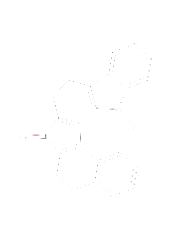 O=c1c2ccc3ccccc3c2c2c1ccc1c3ccccc3c(=O)c12